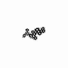 c1ccc(-c2nc(-c3ccncc3)nc(-c3cnc4c5ccccc5c5cc(-c6c7ccccc7c(-c7cccc8ccccc78)c7ccccc67)c6ccccc6c5c4c3)n2)cc1